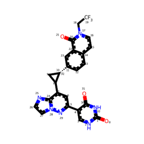 O=c1[nH]cc(-c2cc(C3C[C@@H]3c3ccc4ccn(CC(F)(F)F)c(=O)c4c3)c3nccn3n2)c(=O)[nH]1